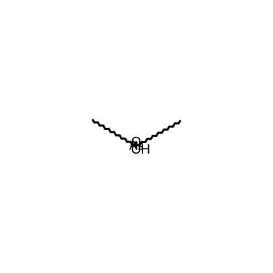 CCCCCCCCCCCCCCCC[As](=O)(O)CCCCCCCCCCCCCCCC